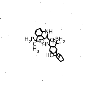 BC(F)(F)c1cc(N2C3CCC2C(O)C3)ccc1NC(=O)c1c[nH]c2cccc(C(C)(F)P)c2c1=O